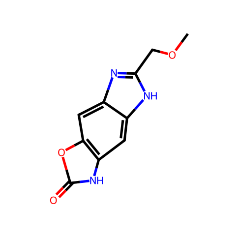 COCc1nc2cc3oc(=O)[nH]c3cc2[nH]1